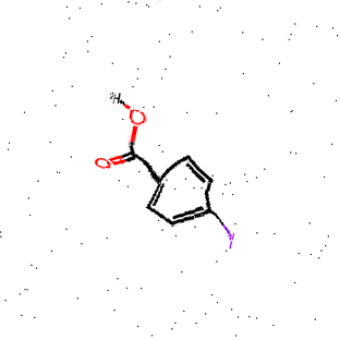 [2H]OC(=O)c1ccc(I)cc1